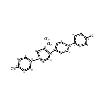 Clc1ccc(-[n+]2ccc(-c3cc[n+](-c4ccc(Cl)cc4)cc3)cc2)cc1.[Cl-].[Cl-]